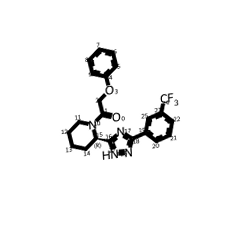 O=C(COc1ccccc1)N1CCCC[C@@H]1c1nc(-c2cccc(C(F)(F)F)c2)n[nH]1